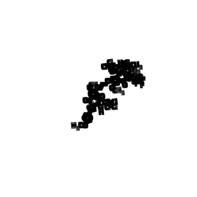 COc1ccc(C2=CN3C(=O)c4cc(OC)c(OCCCOc5cc6c(cc5OC)C(=O)N5C=C(OS(=O)(=O)C(F)(F)F)CC5[C@@H](O[Si](C)(C)C(C)(C)C)N6C(=O)OCC(Cl)(Cl)Cl)cc4N(C(=O)OCC(Cl)(Cl)Cl)[C@H](O)C3C2)cc1